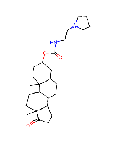 CC12CCC3C(CCC4CC(OC(=O)NCCN5CCCC5)CCC43C)C1CCC2=O